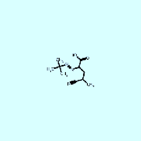 CC(C#N)CC(N=NC(C)(C)C)C(=O)O